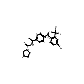 CC(NC(=O)[C@@H]1CCOC1)c1ccc(Nc2ccc(Cl)cc2C(F)(F)F)cn1